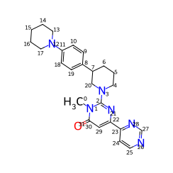 Cn1c(N2CCCC(c3ccc(N4CCCCC4)cc3)C2)nc(-c2ccncn2)cc1=O